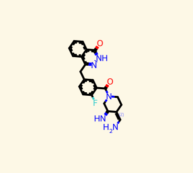 N=C1CN(C(=O)c2cc(Cc3n[nH]c(=O)c4ccccc34)ccc2F)CC/C1=C/N